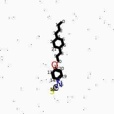 CCCCC1CCC(CCCOc2ccc(N=C=S)cc2)CC1